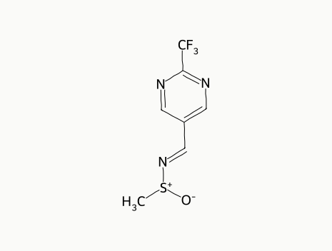 C[S+]([O-])/N=C/c1cnc(C(F)(F)F)nc1